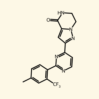 Cc1ccc(-c2nccc(-c3cc4n(n3)CCNC4=O)n2)c(C(F)(F)F)c1